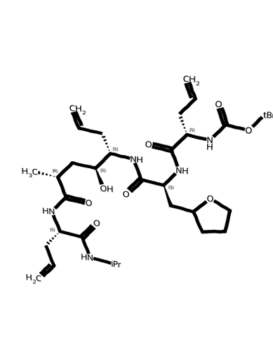 C=CC[C@H](NC(=O)OC(C)(C)C)C(=O)N[C@@H](CC1CCCO1)C(=O)N[C@@H](CC=C)[C@@H](O)C[C@@H](C)C(=O)N[C@@H](CC=C)C(=O)NC(C)C